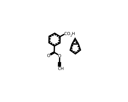 C#COC(=O)c1cccc(C(=O)O)c1.c1cc2cc-2c1